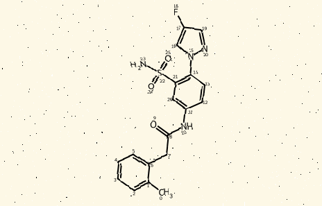 Cc1ccccc1CC(=O)Nc1ccc(-n2cc(F)cn2)c(S(N)(=O)=O)c1